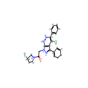 O=C(Cn1nc(C2=CCCC=C2)c2c(Cl)c(-c3ccccc3)nnc21)N1CC[C@@H](F)C1